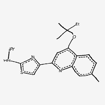 CCC(C)(C)Oc1cc(-c2csc(NC(C)C)n2)nc2cc(C)ccc12